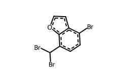 Brc1ccc(C(Br)Br)c2occc12